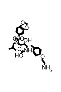 CC(C)CN(C[C@@H](O)[C@H](Cc1ccc(OCCN)cc1)NC(=O)O)S(=O)(=O)c1ccc2c(c1)OCO2